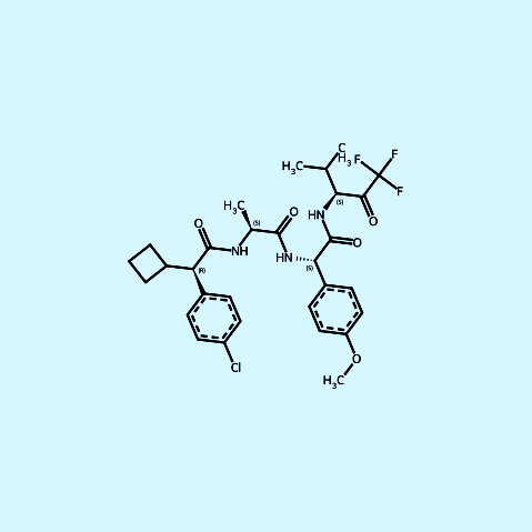 COc1ccc([C@H](NC(=O)[C@H](C)NC(=O)[C@@H](c2ccc(Cl)cc2)C2CCC2)C(=O)N[C@H](C(=O)C(F)(F)F)C(C)C)cc1